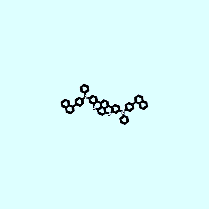 c1ccc(N(c2ccc(-c3cccc4ccccc34)cc2)c2ccc3c(c2)Sc2ccc4c5c(ccc-3c25)-c2ccc(N(c3ccccc3)c3ccc(-c5cccc6ccccc56)cc3)cc2S4)cc1